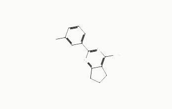 N#Cc1nc(-c2cccc(Cl)c2)nc2c1CCC2